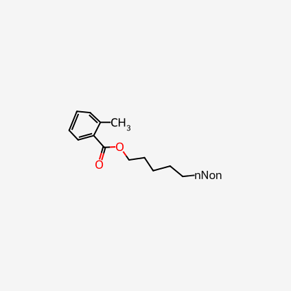 CCCCCCCCCCCCCCOC(=O)c1ccccc1C